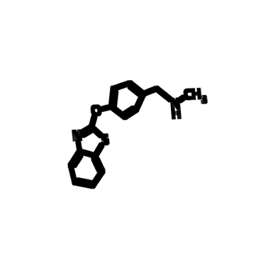 CNCc1ccc(Oc2nc3ccccc3s2)cc1